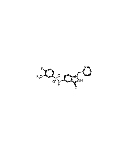 O=c1[nH]n(Cc2ccccn2)c2ccc(NS(=O)(=O)c3ccc(F)c(C(F)(F)F)c3)cc12